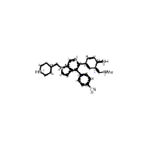 CN/C=C1/C=C(c2ncc3c(ccn3CC3CCNCC3)c2-c2ccc(C#N)cc2)C=CC1=N